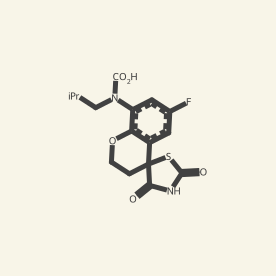 CC(C)CN(C(=O)O)c1cc(F)cc2c1OCCC21SC(=O)NC1=O